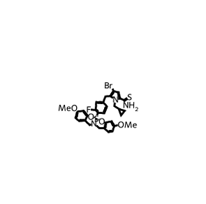 COc1ccc(CN(Cc2ccc(OC)cc2)S(=O)(=O)c2ccc(Cc3c(Br)cc(C(N)=S)n3CC3CC3)cc2F)cc1